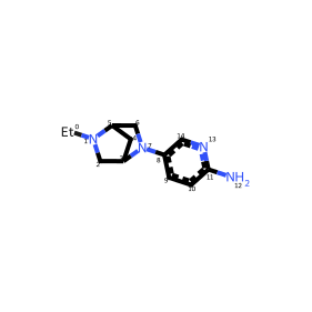 CCN1CC2CC1CN2c1ccc(N)nc1